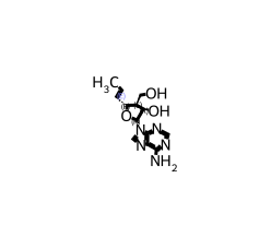 C/C=C/[C@H]1O[C@@H](n2cnc3c(N)ncnc32)[C@H](O)[C@@H]1CO